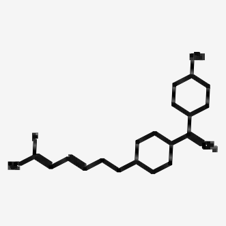 C=C(C1CCC(CCC=CC=C(F)C#N)CC1)C1CCC(CCCC)CC1